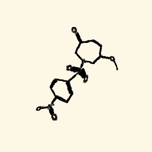 COC1CCC(=O)CN(S(=O)(=O)c2ccc([N+](=O)[O-])cc2)C1